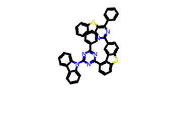 c1ccc(-c2nc(-c3cccc4sc5ccc(-c6nc(-c7ccccc7)c7sc8ccccc8c7n6)cc5c34)nc(-n3c4ccccc4c4ccccc43)n2)cc1